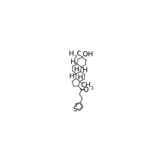 C[C@@]1(O)CC[C@H]2[C@H](CC[C@@H]3[C@@H]2CC[C@]2(C)[C@@H](C(=O)CCc4ccsc4)CC[C@@H]32)C1